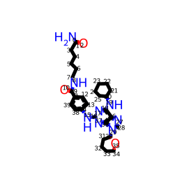 NC(=O)CCCCCNC(=O)c1ccc(Nc2nc(NC3CCCCC3)c3ncn(C4CCCCO4)c3n2)cc1